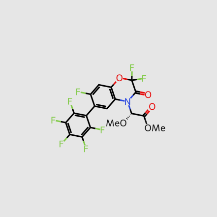 COC(=O)[C@H](OC)N1C(=O)C(F)(F)Oc2cc(F)c(-c3c(F)c(F)c(F)c(F)c3F)cc21